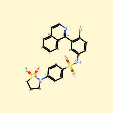 O=S(=O)(Nc1ccc(Cl)c(-c2nccc3ccccc23)c1)c1ccc(N2CCCS2(=O)=O)cc1